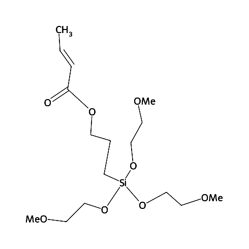 CC=CC(=O)OCCC[Si](OCCOC)(OCCOC)OCCOC